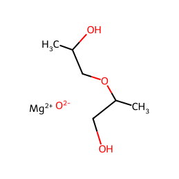 CC(O)COC(C)CO.[Mg+2].[O-2]